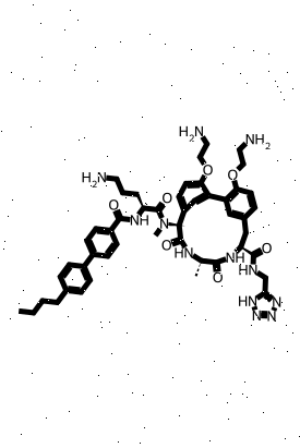 CCCCc1ccc(-c2ccc(C(=O)N[C@@H](CCCN)C(=O)N(C)[C@@H]3C(=O)N[C@@H](C)C(=O)N[C@H](C(=O)NCc4nnn[nH]4)Cc4ccc(OCCN)c(c4)-c4cc3ccc4OCCN)cc2)cc1